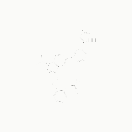 CC(C)n1nc(COc2ccccc2CC(=O)O)c2cc(-c3cccc(-c4cnc[nH]4)c3)ccc21